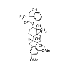 COc1cc2c(c(OC)c1)[C@]1(C)CC[C@H]3C(C)(C)[C@@H](OC(=O)[C@@](CO)(c4ccccc4)C(F)(F)F)CC[C@]3(C)[C@H]1C2